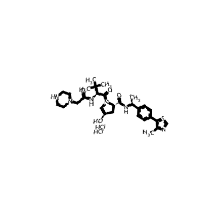 Cc1ncsc1-c1ccc([C@H](C)NC(=O)[C@@H]2C[C@@H](O)CN2C(=O)[C@@H](NC(=O)CN2CCNCC2)C(C)(C)C)cc1.Cl.Cl